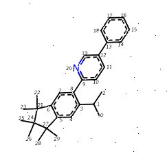 CC(C)c1cc2c(cc1-c1ccc(-c3ccccc3)cn1)C(C)(C)C(C)(C)C2(C)C